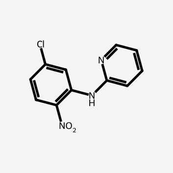 O=[N+]([O-])c1ccc(Cl)cc1Nc1ccccn1